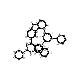 c1ccc(-c2cc(-c3ccccc3)nc(-c3cccc4sc5ccc(-c6nc(-c7ccccc7)nc7c6sc6ccccc67)cc5c34)n2)cc1